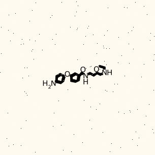 Nc1ccc(Oc2cccc(C(=O)NCCC3CNCCO3)c2)cc1